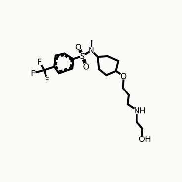 CN(C1CCC(OCCCNCCO)CC1)S(=O)(=O)c1ccc(C(F)(F)F)cc1